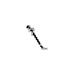 CCCCCCCCCCCCSCCCCCCCCCCNC(=O)C(=O)Nc1nccs1